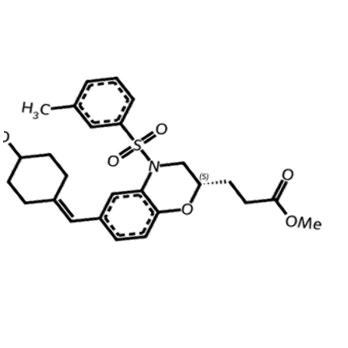 COC(=O)CC[C@H]1CN(S(=O)(=O)c2cccc(C)c2)c2cc(C=C3CCC(O)CC3)ccc2O1